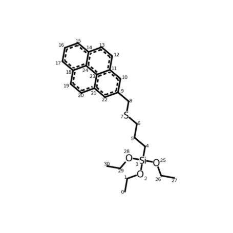 CCO[Si](CCCSCc1cc2ccc3cccc4ccc(c1)c2c34)(OCC)OCC